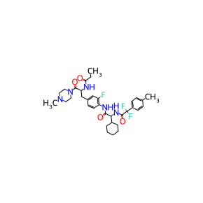 CCC(=O)NC(Cc1ccc(NC(=O)C(NC(=O)C(F)(F)c2ccc(C)cc2)C2CCCCC2)c(F)c1)C(=O)N1CCN(C)CC1